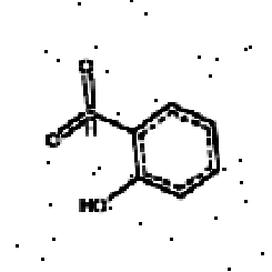 O=[SH](=O)c1cc[c]cc1O